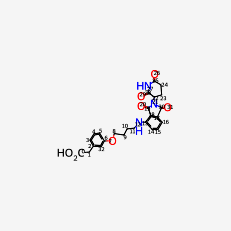 O=C(O)Cc1cccc(OCCCCNc2cccc3c2C(=O)N(C2CCC(=O)NC2=O)C3=O)c1